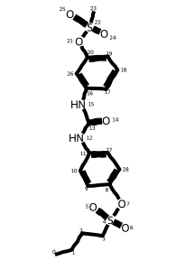 CCCCS(=O)(=O)Oc1ccc(NC(=O)Nc2cccc(OS(C)(=O)=O)c2)cc1